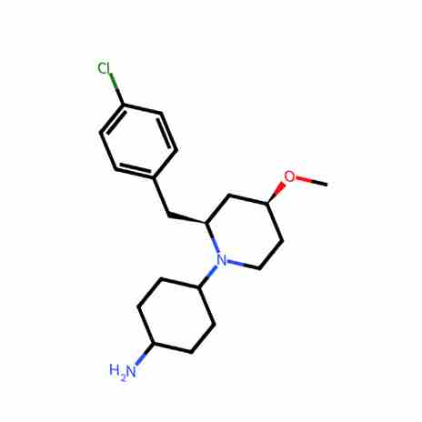 CO[C@H]1CCN(C2CCC(N)CC2)[C@@H](Cc2ccc(Cl)cc2)C1